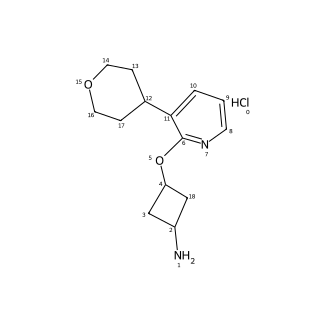 Cl.NC1CC(Oc2ncccc2C2CCOCC2)C1